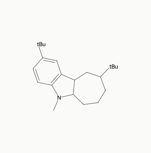 CN1c2ccc(C(C)(C)C)cc2C2CC(C(C)(C)C)CCCC21